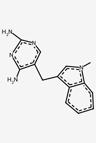 Cn1cc(Cc2cnc(N)nc2N)c2ccccc21